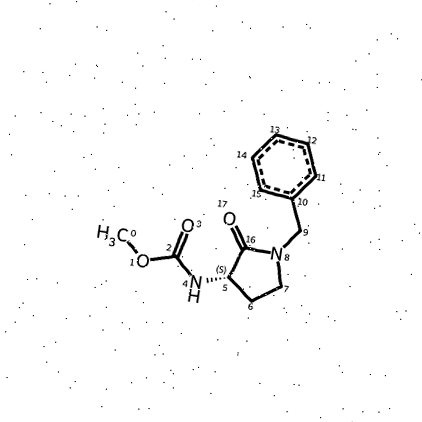 COC(=O)N[C@H]1CCN(Cc2ccccc2)C1=O